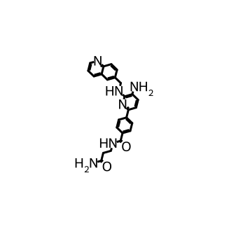 NC(=O)CCNC(=O)c1ccc(-c2ccc(N)c(NCc3ccc4ncccc4c3)n2)cc1